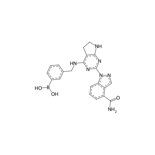 NC(=O)c1cccc2c1cnn2-c1nc2c(c(NCc3cccc(B(O)O)c3)n1)CCN2